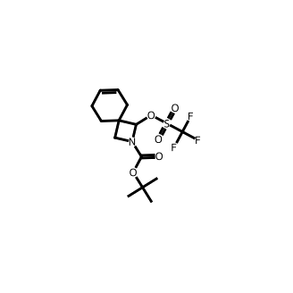 CC(C)(C)OC(=O)N1CC2(CC=CCC2)C1OS(=O)(=O)C(F)(F)F